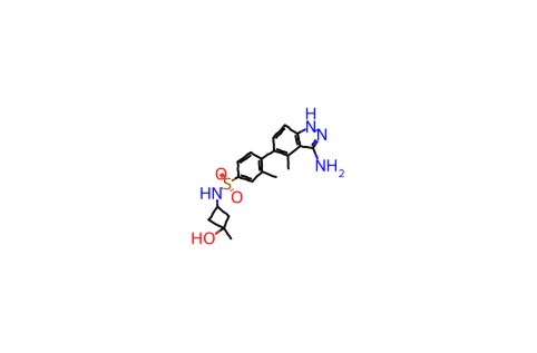 Cc1cc(S(=O)(=O)NC2CC(C)(O)C2)ccc1-c1ccc2[nH]nc(N)c2c1C